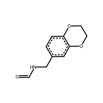 O=CNCc1ccc2c(c1)OCCO2